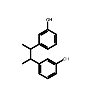 CC(c1cccc(O)c1)C(C)c1cccc(O)c1